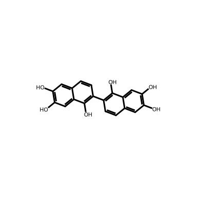 Oc1cc2ccc(-c3ccc4cc(O)c(O)cc4c3O)c(O)c2cc1O